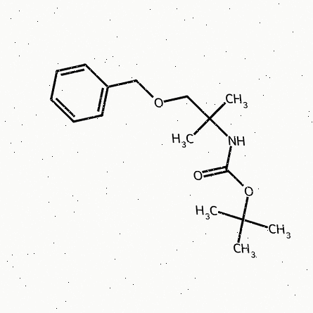 CC(C)(COCc1ccccc1)NC(=O)OC(C)(C)C